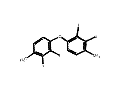 Cc1ccc(Oc2ccc(C)c(I)c2I)c(I)c1I